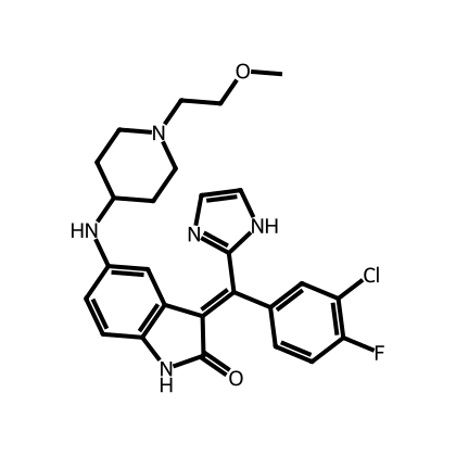 COCCN1CCC(Nc2ccc3c(c2)C(=C(c2ccc(F)c(Cl)c2)c2ncc[nH]2)C(=O)N3)CC1